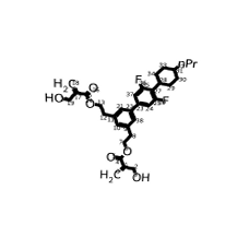 C=C(CO)C(=O)OCCc1cc(CCOC(=O)C(=C)CO)cc(-c2cc(F)c(C3CCC(CCC)CC3)c(F)c2)c1